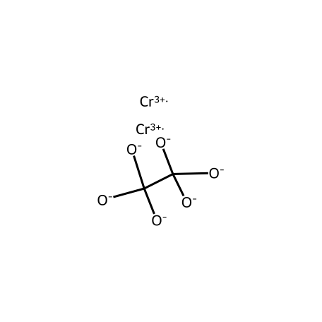 [Cr+3].[Cr+3].[O-]C([O-])([O-])C([O-])([O-])[O-]